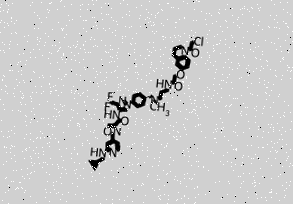 CN(CCCNC(=O)COc1ccc2c(c1)CCCN2C(=O)CCl)C[C@H]1CC[C@H](n2cc(NC(=O)c3coc(-c4ccnc(NCC5CC5)c4)n3)c(C(F)F)n2)CC1